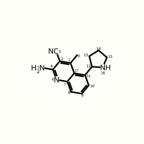 Cc1c(C#N)c(N)nc2cccc(C3CCCN3)c12